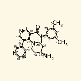 Cc1cc(C)cc(NC(=O)c2cncc(-c3cncnc3)c2N2CCC(N)CC2)c1